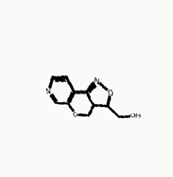 OCC1ON=C2c3ccncc3OCC21